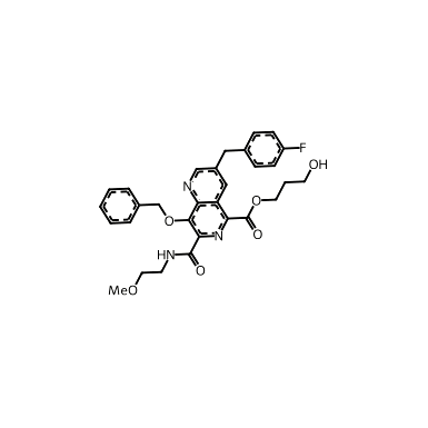 COCCNC(=O)c1nc(C(=O)OCCCO)c2cc(Cc3ccc(F)cc3)cnc2c1OCc1ccccc1